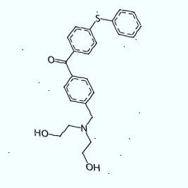 O=C(c1ccc(CN(CCO)CCO)cc1)c1ccc(Sc2ccccc2)cc1